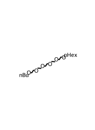 CCCCCCOCCOCCOCCOCCOCCOCCCC